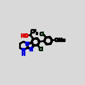 COc1ccc(-c2cc(C(O)C(F)(F)F)c3c(nc4n3CCCN4)c2Cl)c(Cl)c1